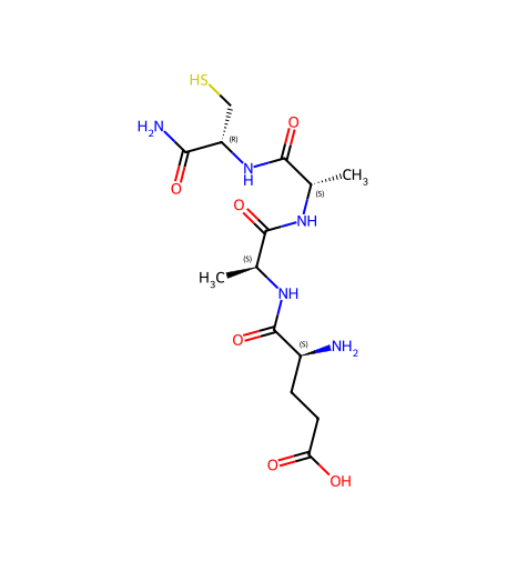 C[C@H](NC(=O)[C@H](C)NC(=O)[C@@H](N)CCC(=O)O)C(=O)N[C@@H](CS)C(N)=O